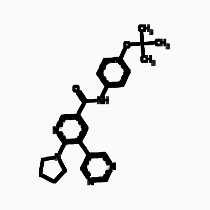 CC(C)(C)Oc1ccc(NC(=O)c2cnc(N3CCCC3)c(-c3cncnc3)c2)cc1